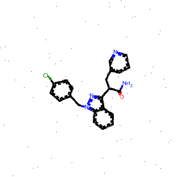 NC(=O)C(Cc1cccnc1)c1nn(Cc2ccc(Cl)cc2)c2ccccc12